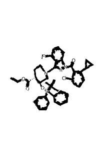 CCOC(=O)[C@@H]1CCN(c2nn(C(=O)c3c(Cl)cccc3C3CC3)c3cccc(F)c23)C[C@H]1O[Si](c1ccccc1)(c1ccccc1)C(C)(C)C